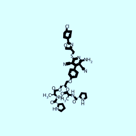 C[C@H](NC(=O)[C@@H]1CCCN1)C(=O)OC[C@H](COc1ccc(-c2c(C#N)c(N)nc(SCc3coc(-c4ccc(Cl)cc4)n3)c2C#N)cc1)OC(=O)[C@H](C)NC(=O)[C@@H]1CCCN1